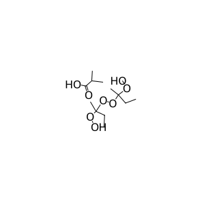 CC(C)C(=O)O.CCC(C)(OO)OOC(C)(CC)OO